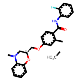 CC(=O)O.Cc1cc(OC[C@@H]2CN(C)c3ccccc3O2)ccc1C(=O)Nc1ccccc1F